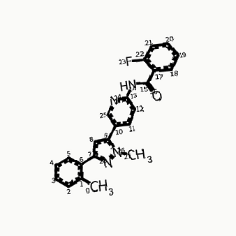 Cc1ccccc1-c1cc(-c2ccc(NC(=O)c3ccccc3F)nc2)n(C)n1